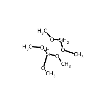 CO[SiH2]OC.CO[SiH](OC)OC